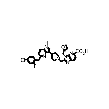 O=C(O)c1ccc2nc(CN3CCC(c4c[nH]c5ccc(Cc6ccc(Cl)cc6F)nc45)CC3)n(C[C@@H]3CCO3)c2n1